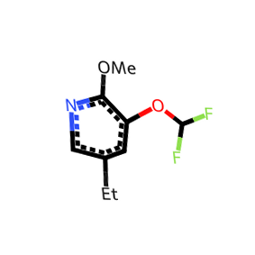 CCc1cnc(OC)c(OC(F)F)c1